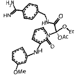 CCO[C@](OC(C)=O)(C(=O)NCc1ccc(C(=N)N)cc1)n1cccc(Nc2cccc(OC)c2)c1=O